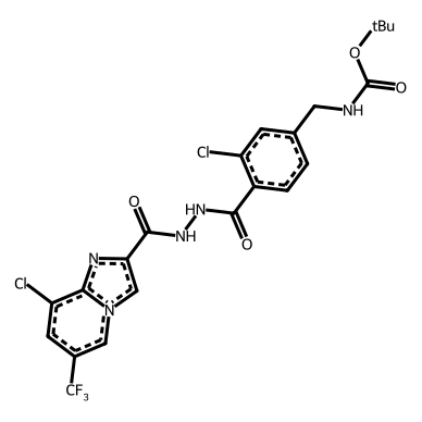 CC(C)(C)OC(=O)NCc1ccc(C(=O)NNC(=O)c2cn3cc(C(F)(F)F)cc(Cl)c3n2)c(Cl)c1